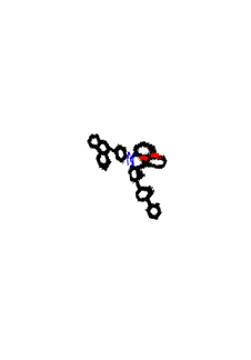 c1ccc(-c2ccc(-c3ccc(N(c4ccccc4)c4ccc(-c5cc6ccccc6c6ccccc56)cc4)c(-c4ccccc4)c3)cc2)cc1